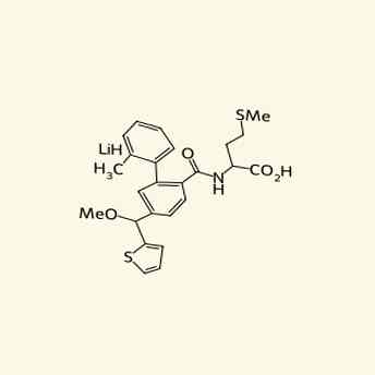 COC(c1ccc(C(=O)NC(CCSC)C(=O)O)c(-c2ccccc2C)c1)c1cccs1.[LiH]